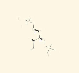 CCC(=O)C(=N\O[Si](C)(C)C)/C(C)=N/O[Si](C)(C)C